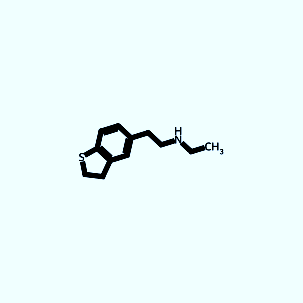 CCNCCc1ccc2c(c1)CCS2